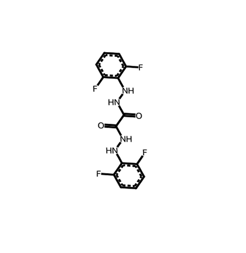 O=C(NNc1c(F)cccc1F)C(=O)NNc1c(F)cccc1F